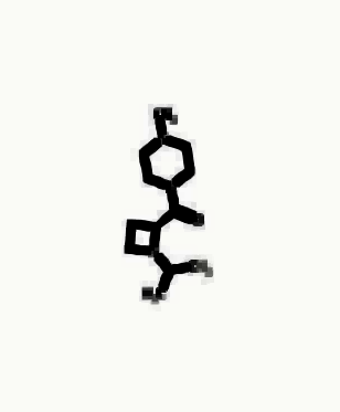 CC(C)N1CC[C@H]1C(=O)N1CCN(C)CC1